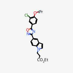 CCOC(=O)CCn1ccc2cc(-c3noc(-c4ccc(OC(C)C)c(Cl)c4)n3)ccc21